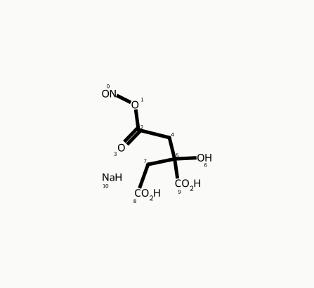 O=NOC(=O)CC(O)(CC(=O)O)C(=O)O.[NaH]